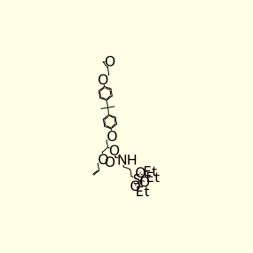 C=CCOCC(COc1ccc(C(C)(C)c2ccc(OCC3CO3)cc2)cc1)OC(=O)NCCC[Si](OCC)(OCC)OCC